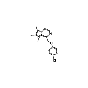 Cc1c(C)n(C)c2c(COc3ccc(Cl)cc3)nccc12